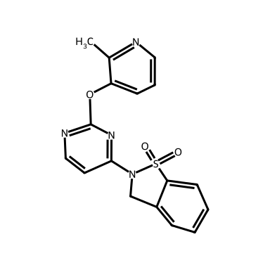 Cc1ncccc1Oc1nccc(N2Cc3ccccc3S2(=O)=O)n1